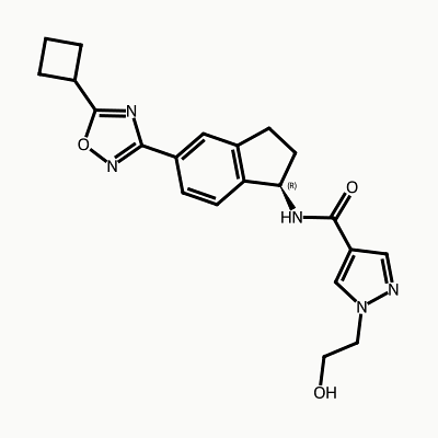 O=C(N[C@@H]1CCc2cc(-c3noc(C4CCC4)n3)ccc21)c1cnn(CCO)c1